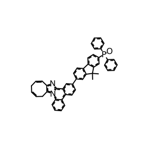 CC1(C)c2cc(-c3ccc4c5ccccc5n5c6c(nc5c4c3)/C=C\C/C=C\C6)ccc2-c2ccc(P(=O)(c3ccccc3)c3ccccc3)cc21